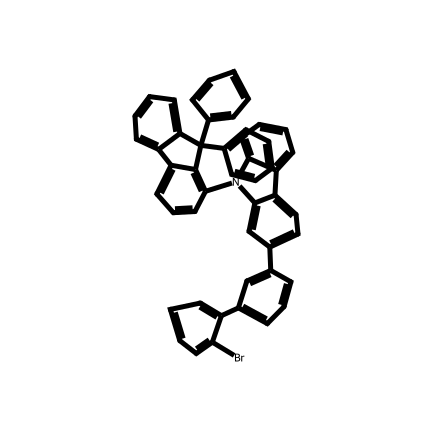 Brc1ccccc1-c1cccc(-c2ccc3c4ccccc4n(-c4cccc5c4C(c4ccccc4)(c4ccccc4)c4ccccc4-5)c3c2)c1